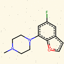 CN1CCN(c2cc(F)cc3ccoc23)CC1